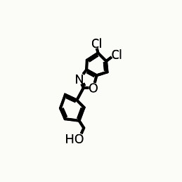 OCc1cccc(-c2nc3cc(Cl)c(Cl)cc3o2)c1